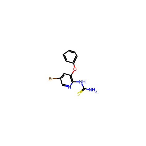 NC(=S)Nc1ncc(Br)cc1Oc1ccccc1